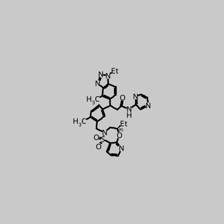 CC[C@@H]1CN(Cc2cc(C(CC(=O)Nc3cnccn3)c3ccc4c(nnn4CC)c3C)ccc2C)S(=O)(=O)c2cccnc2O1